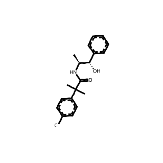 C[C@H](NC(=O)C(C)(C)c1ccc(Cl)cc1)[C@@H](O)c1ccccc1